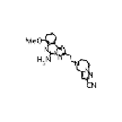 COc1cccc2c1nc(N)n1nc(CCN3CCCn4nc(C#N)cc4C3)nc21